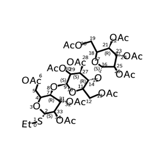 CCS[C@@H]1OC(COC(C)=O)[C@@H](O[C@@H]2OC(COC(C)=O)[C@@H](O[C@@H]3OC(COC(C)=O)[C@@H](OC(C)=O)[C@H](OC(C)=O)C3OC(C)=O)[C@H](OC(C)=O)C2OC(C)=O)[C@H](OC(C)=O)C1OC(C)=O